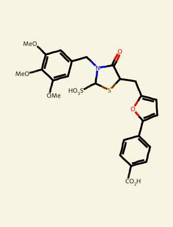 COc1cc(CN2C(=O)C(Cc3ccc(-c4ccc(C(=O)O)cc4)o3)SC2S(=O)(=O)O)cc(OC)c1OC